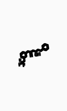 O[C@@H](CCc1ccccc1)CNCc1cccc(CC(F)(F)F)c1